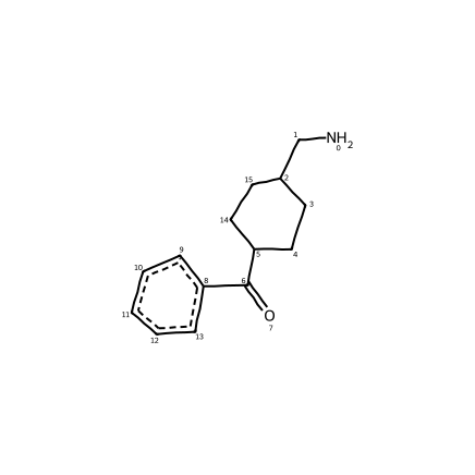 NCC1CCC(C(=O)c2[c]cccc2)CC1